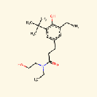 CCc1cc(CCC(=O)N(CC)CCO)cc(C(C)(C)C)c1O